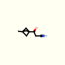 CC12CC(C(=O)CC#N)(C1)C2